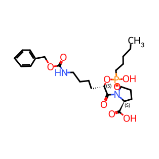 CCCCCP(=O)(O)O[C@@H](CCCCNC(=O)OCc1ccccc1)C(=O)N1CCC[C@H]1C(=O)O